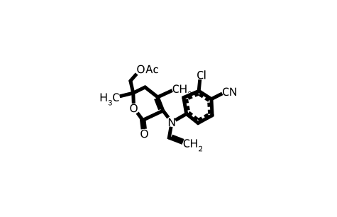 C=CN(C1=C(C)CC(C)(COC(C)=O)OC1=O)c1ccc(C#N)c(Cl)c1